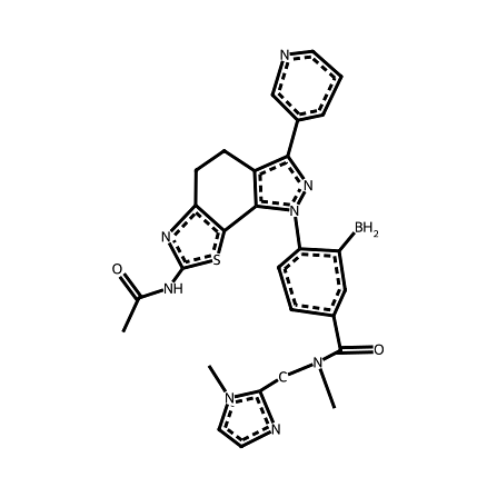 Bc1cc(C(=O)N(C)Cc2nccn2C)ccc1-n1nc(-c2cccnc2)c2c1-c1sc(NC(C)=O)nc1CC2